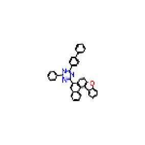 c1ccc(-c2ccc(-c3nc(-c4ccccc4)nc(-c4cc5ccccc5c5c4ccc4oc6ccccc6c45)n3)cc2)cc1